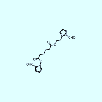 O=Cc1cccn1CCOC(=O)CCCCC(=O)On1cccc1C=O